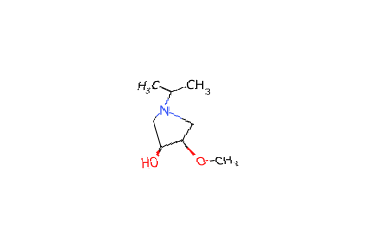 CO[C@@H]1CN(C(C)C)C[C@@H]1O